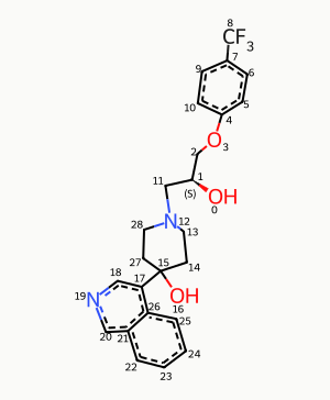 O[C@H](COc1ccc(C(F)(F)F)cc1)CN1CCC(O)(c2cncc3ccccc23)CC1